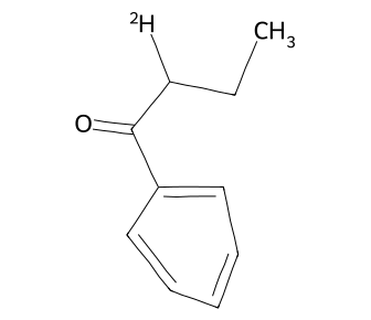 [2H]C(CC)C(=O)c1ccccc1